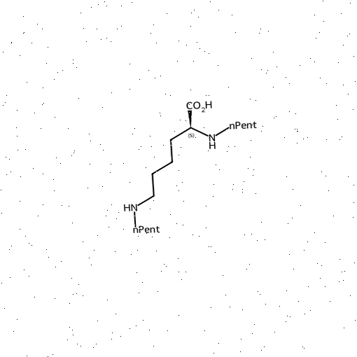 CCCCCNCCCC[C@H](NCCCCC)C(=O)O